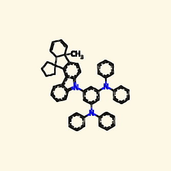 CC12C=CC=CC1C1(CCCC1)c1c2ccc2c1c1ccccc1n2-c1cc(N(c2ccccc2)c2ccccc2)cc(N(c2ccccc2)c2ccccc2)c1